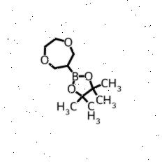 CC1(C)OB(C2COCCOC2)OC1(C)C